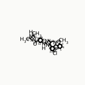 COc1cccc(F)c1C1=NCc2cnc(Nc3cccc(C(=O)N4CC(C)NC(C)C4)c3)nc2-c2ccc(Cl)cc21